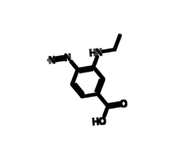 CCNc1cc(C(=O)O)ccc1N=[N]